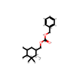 CC1CC(COC(=O)OCc2ccccc2)[C@H](C)C(C)(C)C1C